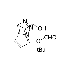 CC(C)(C)OC=O.OCc1c2nnn3c1ccc23